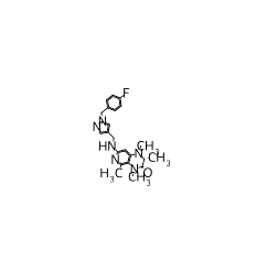 Cc1nc(NCc2cnn(Cc3ccc(F)cc3)c2)cc2c1N(C)C(=O)[C@@H](C)N2C